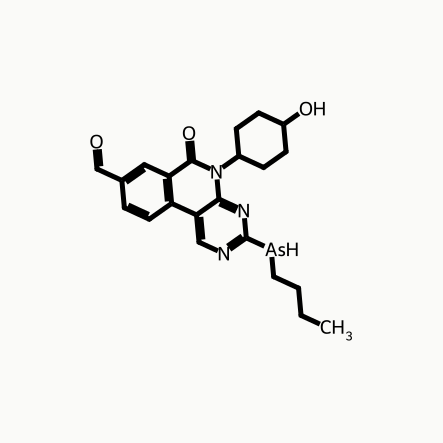 CCCC[AsH]c1ncc2c3ccc(C=O)cc3c(=O)n(C3CCC(O)CC3)c2n1